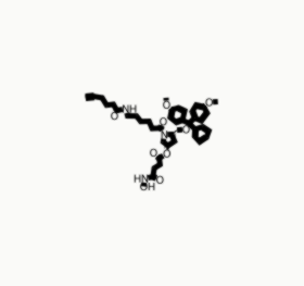 C#CCCCC(=O)NCCCCCC(=O)N1C[C@H](OC(=O)CCC(=O)NO)C[C@H]1COC(c1ccccc1)(c1ccc(OC)cc1)c1ccc(OC)cc1